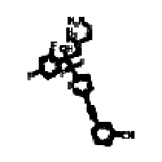 N#Cc1cccc(C#Cc2ccc(C(F)(F)C(O)(CN(N)/C=N\N)c3ccc(F)cc3F)nc2)c1